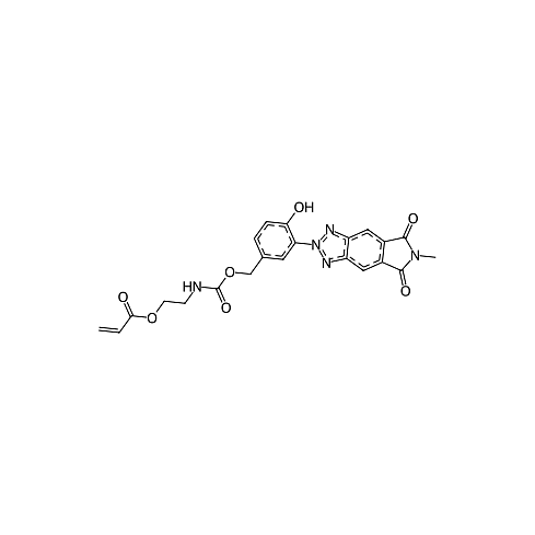 C=CC(=O)OCCNC(=O)OCc1ccc(O)c(-n2nc3cc4c(cc3n2)C(=O)N(C)C4=O)c1